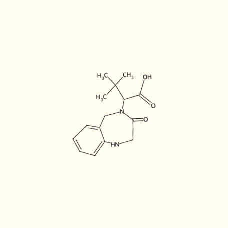 CC(C)(C)C(C(=O)O)N1Cc2ccccc2NCC1=O